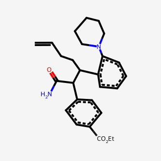 C=CCCC(c1ccccc1N1CCCCC1)C(C(N)=O)c1ccc(C(=O)OCC)cc1